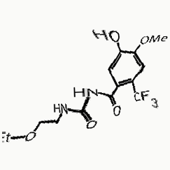 CCOCCNC(=O)NC(=O)c1cc(O)c(OC)cc1C(F)(F)F